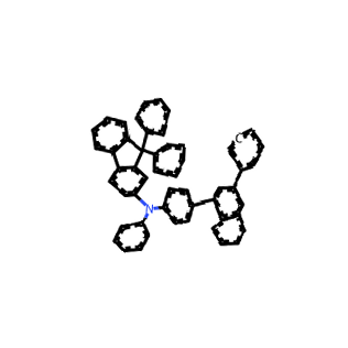 c1ccc(-c2cc(-c3ccc(N(c4ccccc4)c4ccc5c(c4)C(c4ccccc4)(c4ccccc4)c4ccccc4-5)cc3)c3ccccc3c2)cc1